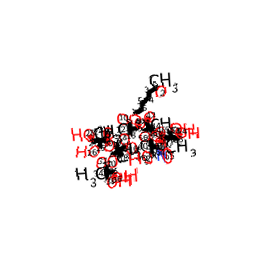 CC(=O)CCCCCOC(=O)C(C)(COC(=O)C(C)(COC(=O)C(C)(CO)CO)COC(=O)C(C)(CO)CO)COC(=O)C(C)(COC(=O)C(C)(CO)CO)COC(=O)C(C)(CO)CN=O